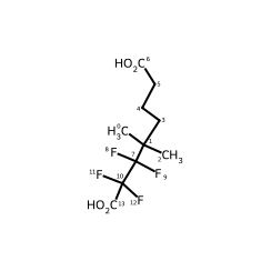 CC(C)(CCCC(=O)O)C(F)(F)C(F)(F)C(=O)O